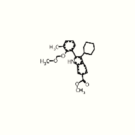 COCOc1c(C)cccc1-c1[nH]c2cc(C(=O)OC)ccc2c1C1CCCCC1